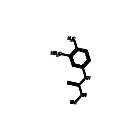 Cc1ccc(NC(=O)NC(C)(C)C)cc1C(=O)O